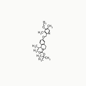 COc1c(C)cnc(COc2ccc3c(c2)CCN(C(=O)OC(C)(C)C)C3C(C)C)c1C